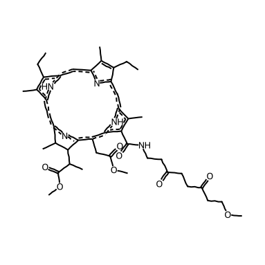 CCC1=C(C)c2cc3[nH]c(cc4nc(c(CC(=O)OC)c5[nH]c(cc1n2)c(C)c5C(=O)NCCC(=O)CCC(=O)CCOC)C(C(C)C(=O)OC)C4C)c(C)c3CC